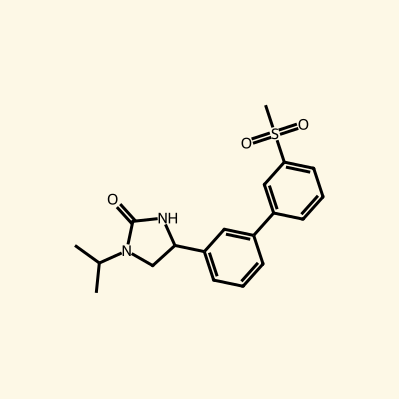 CC(C)N1CC(c2cccc(-c3cccc(S(C)(=O)=O)c3)c2)NC1=O